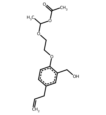 C=CCc1ccc(OCCOC(C)OC(C)=O)c(CO)c1